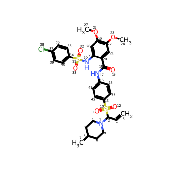 C=CC(N1CCC(C)CC1)S(=O)(=O)c1ccc(NC(=O)c2cc(OC)c(OC)cc2NS(=O)(=O)c2ccc(Cl)cc2)cc1